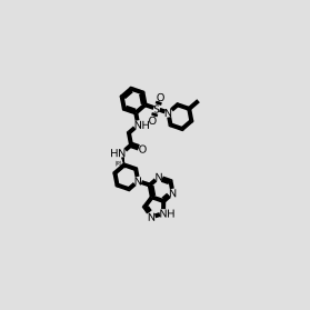 CC1CCCN(S(=O)(=O)c2ccccc2NCC(=O)N[C@@H]2CCCN(c3ncnc4[nH]ncc34)C2)C1